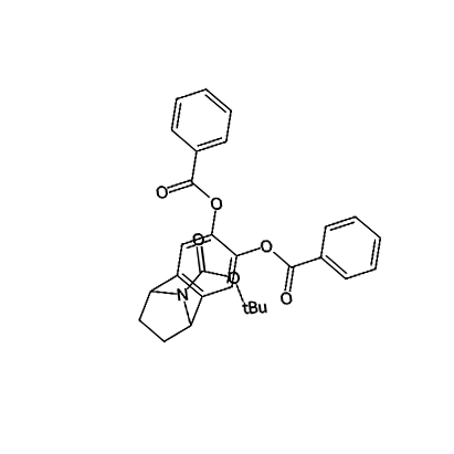 CC(C)(C)OC(=O)N1C2CCC1c1cc(OC(=O)c3ccccc3)c(OC(=O)c3ccccc3)cc12